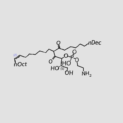 CCCCCCCC/C=C\CCCCCCC(C(=O)CCCCCCCCCCCCCCC)C(=O)C(OP(=O)(O)OCCN)[C@@H](O)CO